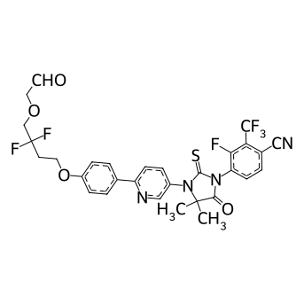 CC1(C)C(=O)N(c2ccc(C#N)c(C(F)(F)F)c2F)C(=S)N1c1ccc(-c2ccc(OCCC(F)(F)COCC=O)cc2)nc1